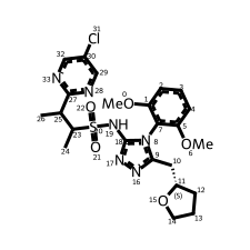 COc1cccc(OC)c1-n1c(C[C@@H]2CCCO2)nnc1NS(=O)(=O)C(C)C(C)c1ncc(Cl)cn1